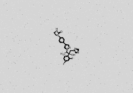 C[C@@H](n1cc(-c2ccc(N3CCNC3=O)cc2)cn1)[C@](O)(Cn1cncn1)c1ccc(F)cc1F